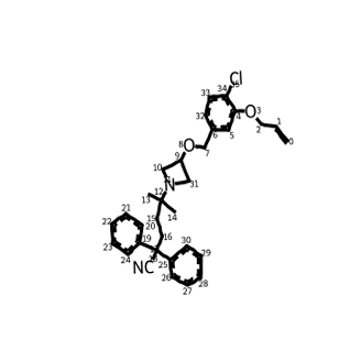 C=CCOc1cc(COC2CN(C(C)(C)CCC(C#N)(c3ccccc3)c3ccccc3)C2)ccc1Cl